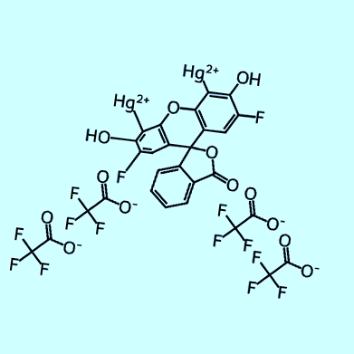 O=C([O-])C(F)(F)F.O=C([O-])C(F)(F)F.O=C([O-])C(F)(F)F.O=C([O-])C(F)(F)F.O=C1OC2(c3ccccc31)c1cc(F)c(O)[c]([Hg+2])c1Oc1c2cc(F)c(O)[c]1[Hg+2]